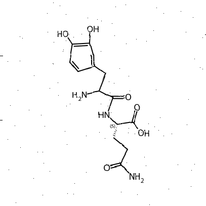 NC(=O)CC[C@H](NC(=O)C(N)Cc1ccc(O)c(O)c1)C(=O)O